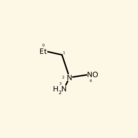 CCCN(N)N=O